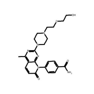 Cc1nc(N2CCN(CCOCCO)CC2)nc2c1ccc(=O)n2-c1ccc(C(N)=O)cc1